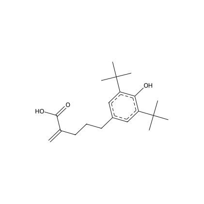 C=C(CCCc1cc(C(C)(C)C)c(O)c(C(C)(C)C)c1)C(=O)O